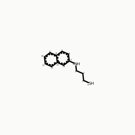 SCCCNc1ccc2ccccc2c1